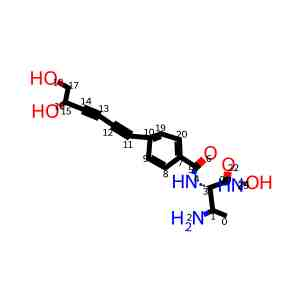 CC(N)[C@H](NC(=O)c1ccc(C#CC#CC(O)CO)cc1)C(=O)NO